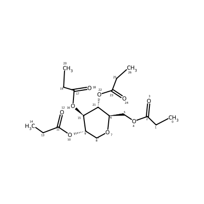 CCC(=O)OC[C@H]1O[CH][C@H](OC(=O)CC)[C@@H](OC(=O)CC)[C@@H]1OC(=O)CC